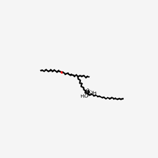 CCCCCCCCCCCCCCCCCCC(CCCCCC)CCCCCCCCCC(O)(CCCCCCCCCCCCCCCCCC)C(=O)O